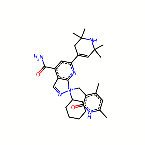 Cc1cc(C)c(C[N+]2(C3CCCCC3)N=Cc3c(C(N)=O)cc(C4=CC(C)(C)NC(C)(C)C4)nc32)c(=O)[nH]1